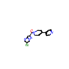 O=C(c1cc2ncc(Br)cn2n1)N1CC=C(c2ccncc2)CC1